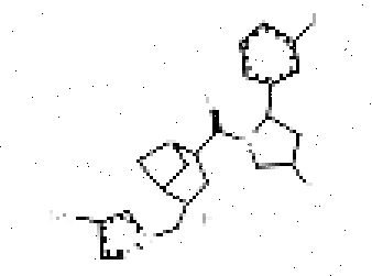 N#Cc1cnn(C[C@@H]2CC(C(=O)N3CC(F)CC3c3cccc(F)c3)C3CC2C3)c1